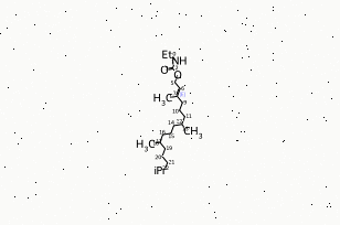 CCNC(=O)OC/C=C(\C)CCCC(C)CCCC(C)CCCC(C)C